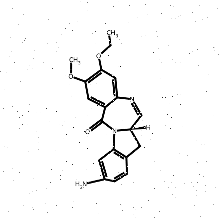 CCOc1cc2c(cc1OC)C(=O)N1c3cc(N)ccc3C[C@H]1C=N2